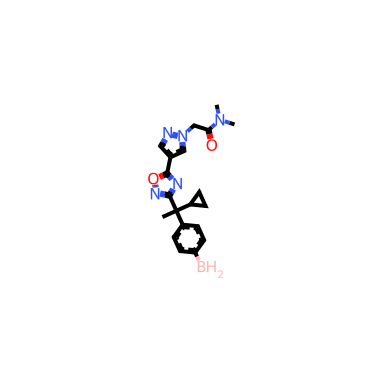 Bc1ccc(C(C)(c2noc(-c3cnn(CC(=O)N(C)C)c3)n2)C2CC2)cc1